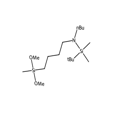 CCCCN(CCCC[Si](C)(OC)OC)[Si](C)(C)C(C)(C)C